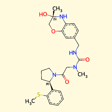 CSc1ccccc1[C@H]1CCCN1C(=O)CN(C)C(=O)NCc1ccc2c(c1)OC[C@](C)(O)N2